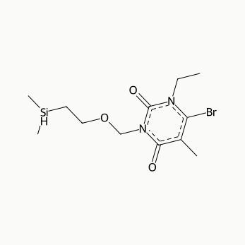 CCn1c(Br)c(C)c(=O)n(COCC[SiH](C)C)c1=O